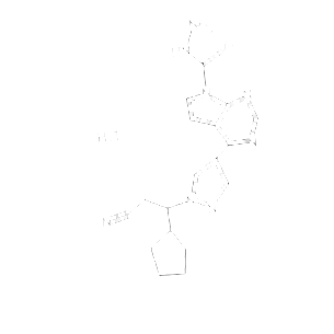 Cl.N#CCC(C1CCCC1)n1cc(-c2ncnc3c2ccn3C(=O)NN)cn1